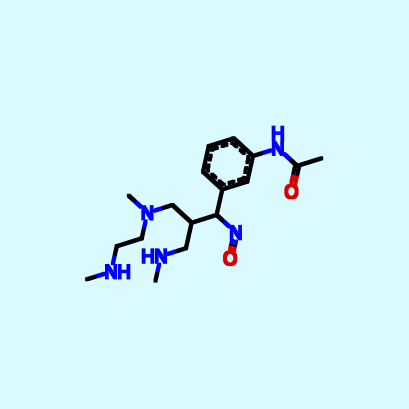 CNCCN(C)CC(CNC)C(N=O)c1cccc(NC(C)=O)c1